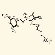 O=C(O)CCCCOC[C@H]1C(=O)CC(F)[C@@H]1CCc1cc(C(F)(F)F)cc(C(F)(F)F)c1